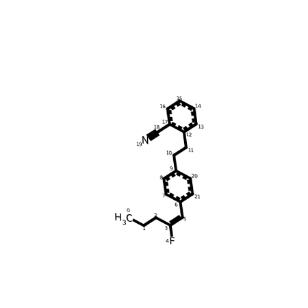 CCC/C(F)=C\c1ccc(CCc2ccccc2C#N)cc1